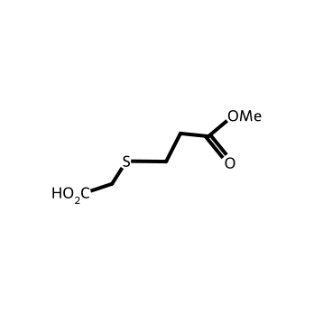 COC(=O)CCSCC(=O)O